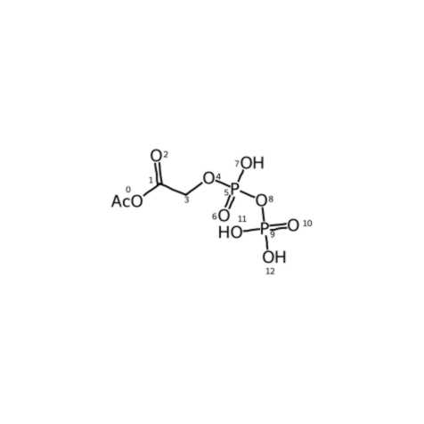 CC(=O)OC(=O)COP(=O)(O)OP(=O)(O)O